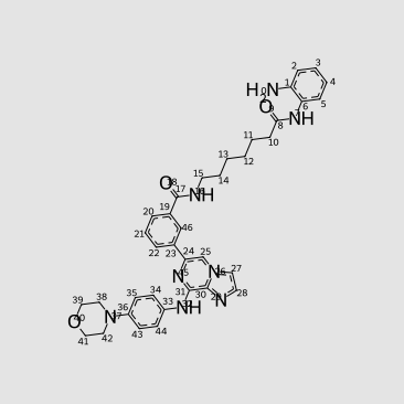 Nc1ccccc1NC(=O)CCCCCCNC(=O)c1cccc(-c2cn3ccnc3c(Nc3ccc(N4CCOCC4)cc3)n2)c1